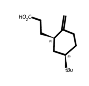 C=C1CC[C@@H](C(C)(C)C)C[C@H]1CCC(=O)O